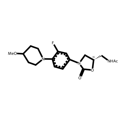 COC1CCN(c2ccc(N3C[C@H](CNC(C)=O)OC3=O)cc2F)CC1